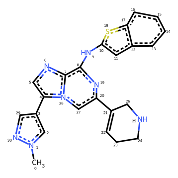 Cn1cc(-c2cnc3c(Nc4cc5ccccc5s4)nc(C4=CCCNC4)cn23)cn1